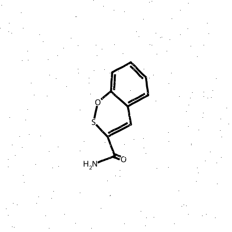 NC(=O)C1=Cc2ccccc2OS1